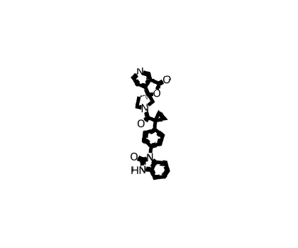 O=C1O[C@]2(CCN(C(=O)C3(c4ccc(-n5c(=O)[nH]c6ccccc65)cc4)CC3)C2)c2ccncc21